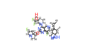 Cc1cc2[nH]ncc2c(-c2ncc3c(N4CCC[C@](O)(C(F)F)C4)nc(OC[C@@]45CCCN4C[C@H](F)C5)nc3c2F)c1[C@H]1C[C@H]1C